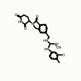 Cc1ccc(NC(NC#N)NCc2ccc3c(c2)CN(C2CCC(=O)NC2=O)C3=O)cc1Cl